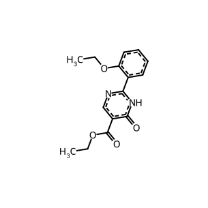 CCOC(=O)c1cnc(-c2ccccc2OCC)[nH]c1=O